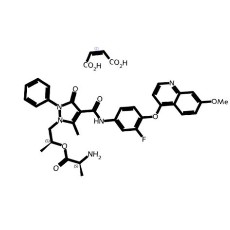 COc1ccc2c(Oc3ccc(NC(=O)c4c(C)n(C[C@H](C)OC(=O)[C@H](C)N)n(-c5ccccc5)c4=O)cc3F)ccnc2c1.O=C(O)/C=C\C(=O)O